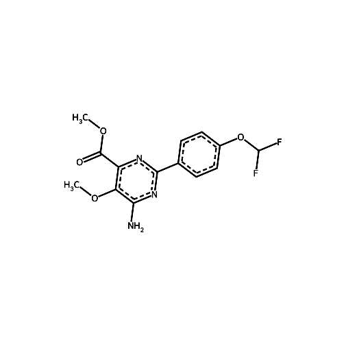 COC(=O)c1nc(-c2ccc(OC(F)F)cc2)nc(N)c1OC